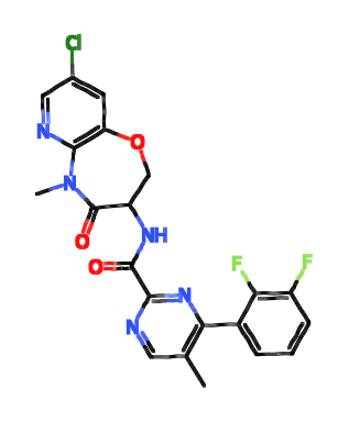 Cc1cnc(C(=O)NC2COc3cc(Cl)cnc3N(C)C2=O)nc1-c1cccc(F)c1F